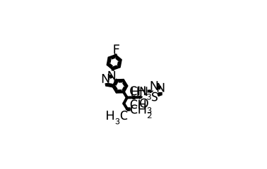 C=C(C)CC(c1ccc2c(cnn2-c2ccc(F)cc2)c1)C(C)(C)C(=O)Nc1nncs1